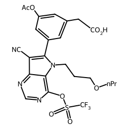 CCCOCCCn1c(-c2cc(CC(=O)O)cc(OC(C)=O)c2)c(C#N)c2ncnc(OS(=O)(=O)C(F)(F)F)c21